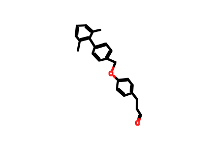 Cc1cccc(C)c1-c1ccc(COc2ccc(CCC=O)cc2)cc1